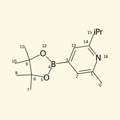 Cc1cc(B2OC(C)(C)C(C)(C)O2)cc(C(C)C)n1